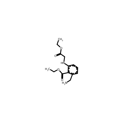 CCOC(=O)CNc1cccc(CN)c1C(=O)OCC